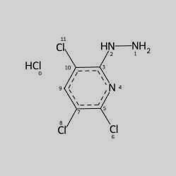 Cl.NNc1nc(Cl)c(Cl)cc1Cl